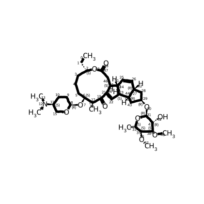 CC[C@H]1CCC[C@H](O[C@@H]2CC[C@H](N(C)C)CO2)[C@@H](C)C(=O)C2=C[C@@H]3[C@@H](C=C[C@@H]4C[C@@H](O[C@@H]5O[C@@H](C)[C@H](OC)[C@@H](OC)[C@H]5O)C[C@@H]34)[C@@H]2CC(=O)O1